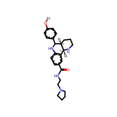 CCOc1ccc(C2Nc3ccc(C(=O)NCCN4CCCC4)cc3[C@H]3NCCC[C@@H]23)cc1